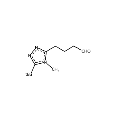 Cn1c(CCCC=O)nnc1C(C)(C)C